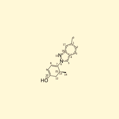 Cc1ccc2cn(C3=CC=C(O)C[C@@H]3C)nc2c1